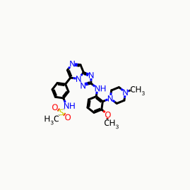 COc1cccc(Nc2nc3cncc(-c4cccc(NS(C)(=O)=O)c4)n3n2)c1N1CCN(C)CC1